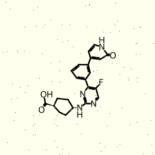 O=c1cc(-c2cccc(-c3nc(N[C@H]4CC[C@H](C(=O)O)CC4)ncc3F)c2)cc[nH]1